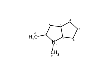 CC1CC2CCCC2N1C